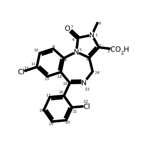 Cn1c(C(=O)O)c2n(c1=O)-c1ccc(Cl)cc1C(c1ccccc1Cl)=NC2